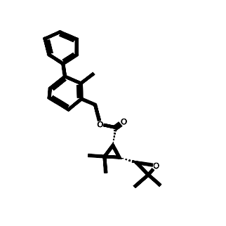 Cc1c(COC(=O)[C@@H]2[C@H](C3OC3(C)C)C2(C)C)cccc1-c1ccccc1